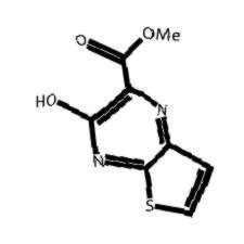 COC(=O)c1nc2ccsc2nc1O